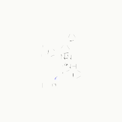 COc1ccc(Cn2c([C@H](CCC/C=C/C(=O)O)NC(=O)c3ccccc3)nc3cc(-c4ccccc4)ccc32)cc1OC